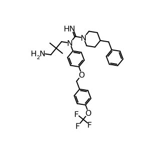 CC(C)(CN)CN(C(=N)N1CCC(Cc2ccccc2)CC1)c1ccc(OCc2ccc(OC(F)(F)F)cc2)cc1